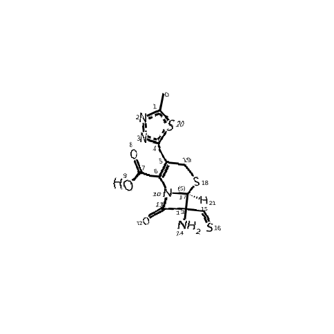 Cc1nnc(C2=C(C(=O)O)N3C(=O)C(N)(C=S)[C@@H]3SC2)s1